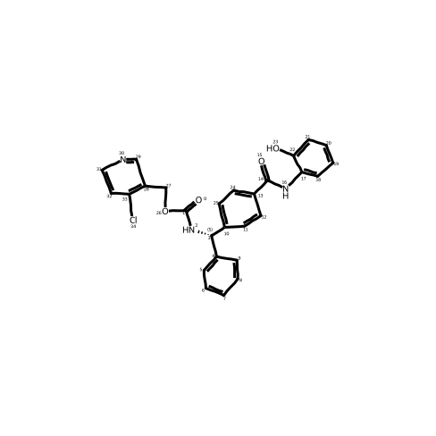 O=C(N[C@@H](c1ccccc1)c1ccc(C(=O)Nc2ccccc2O)cc1)OCc1cnccc1Cl